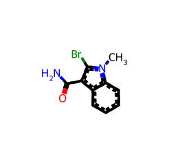 Cn1c(Br)c(C(N)=O)c2ccccc21